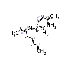 C=CC=CC/C(=C\C)N=NC(=C)/C=C\C(=C)N